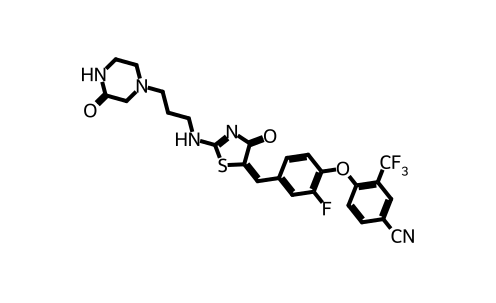 N#Cc1ccc(Oc2ccc(/C=C3/SC(NCCCN4CCNC(=O)C4)=NC3=O)cc2F)c(C(F)(F)F)c1